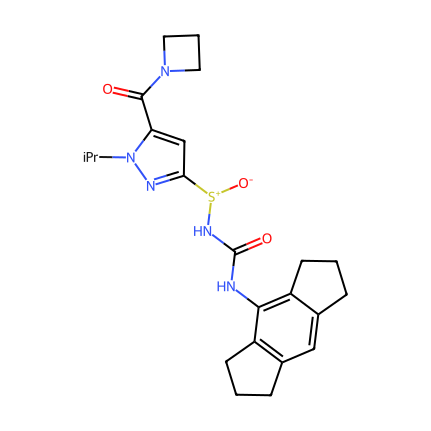 CC(C)n1nc([S+]([O-])NC(=O)Nc2c3c(cc4c2CCC4)CCC3)cc1C(=O)N1CCC1